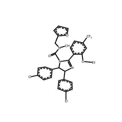 CCOc1cc(C(F)(F)F)ccc1C1=NC(c2ccc(Cl)cc2)C(c2ccc(Cl)cc2)N1C(=O)N(C)Cc1ccco1